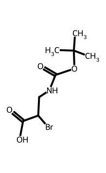 CC(C)(C)OC(=O)NCC(Br)C(=O)O